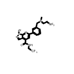 CC(C)n1ncc2c(C(=O)NCC(F)(F)F)cc(-c3cccc(CN(C)CCN)c3)nc21